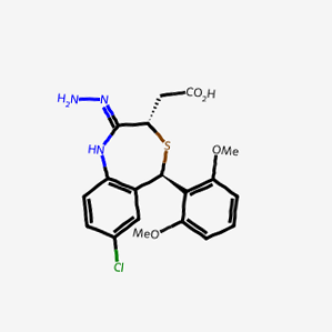 COc1cccc(OC)c1[C@@H]1S[C@@H](CC(=O)O)/C(=N/N)Nc2ccc(Cl)cc21